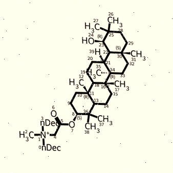 CCCCCCCCCC[N+](C)(CCCCCCCCCC)CC(=O)O[C@H]1CC[C@@]2(C)C(CC[C@]3(C)C2CC[C@@H]2C4[C@@H](O)C(C)(C)CC[C@]4(C)CC[C@]23C)C1(C)C